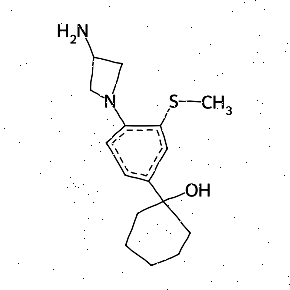 CSc1cc(C2(O)CCCCC2)ccc1N1CC(N)C1